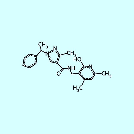 Cc1cc(C)c(CNC(=O)c2cn(C(C)c3ccccc3)nc2C)c(O)n1